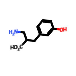 NCC(Cc1cccc(O)c1)C(=O)O